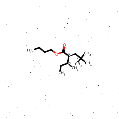 CCCCOC(=O)[C@@H](CC(C)(C)C)[C@@H](C)CC